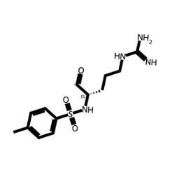 Cc1ccc(S(=O)(=O)N[C@H]([C]=O)CCCNC(=N)N)cc1